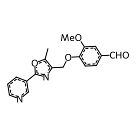 COc1cc(C=O)ccc1OCc1nc(-c2cccnc2)oc1C